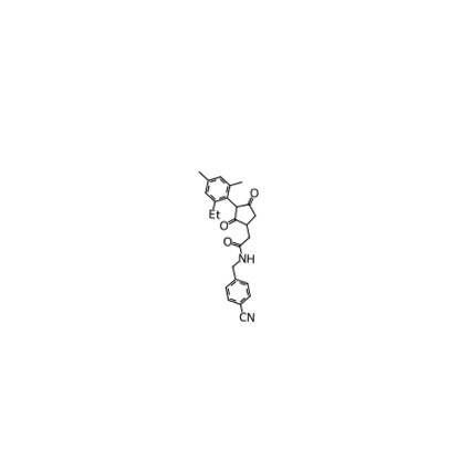 CCc1cc(C)cc(C)c1C1C(=O)CC(CC(=O)NCc2ccc(C#N)cc2)C1=O